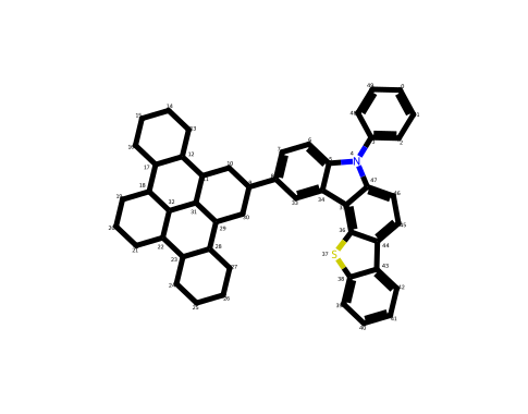 c1ccc(-n2c3ccc(C4CC5C6CCCCC6C6CCCC7C8CCCCC8C(C4)C5C67)cc3c3c4sc5ccccc5c4ccc32)cc1